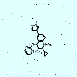 CC(=O)N1c2ccc(-c3cn[nH]c3)cc2[C@H](Nc2ncccn2)[C@@H](C)[C@@H]1C1CC1